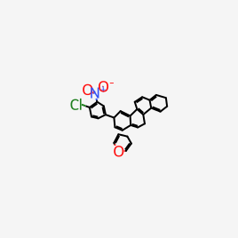 C1=COC=CC1.O=[N+]([O-])c1cc(C2C=CC3=CCc4c(ccc5c4=CCCC=5)C3=C2)ccc1Cl